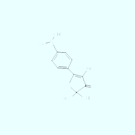 C[S+]([O-])c1ccc(C2=C(Br)C(=O)C(C)(C)O2)cc1